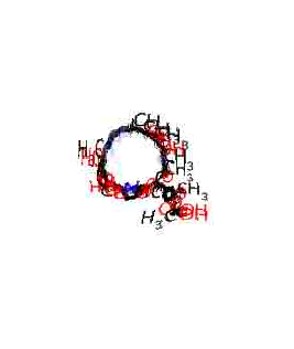 C=C[C@@H]1/C=C/C=C/C=C(\C)[C@@H](O)C[C@@H]2CC[C@@H](C)[C@@](O)(O2)C(=O)C(=O)N2CCCC[C@H]2C(=O)O[C@H]([C@H](C)C[C@@H]2CC[C@@H](OC(=O)C(C)(CO)CO)[C@H](OC)C2)CC(=O)[C@H](C)/C=C(\C)[C@@H](O)[C@@H](OC)C(=O)[C@H](C)C1